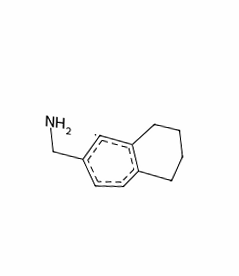 NCc1[c]c2c(cc1)CCCC2